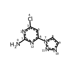 Nc1nc(Cl)cc(-n2ccnn2)n1